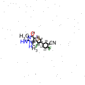 CN1C(=N)N[C@](C)(c2scc(-c3ccc(F)c(C#N)c3)c2F)[C@@H](I)C1=O